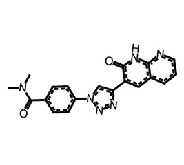 CN(C)C(=O)c1ccc(-n2cc(-c3cc4cccnc4[nH]c3=O)nn2)cc1